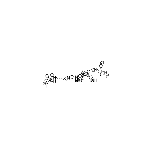 CC1(C)CCC(CN2CCN(c3ccc(C(=O)NS(=O)(=O)c4ccc(NC[C@H]5CC[C@@H](N6CCN(CCCCCCNc7cccc8c7C(=O)N(C7CCC(=O)NC7=O)C8=O)CC6)CC5)c([N+](=O)[O-])c4)c(Oc4cnc5[nH]ccc5c4)c3)CC2)=C(c2ccc(Cl)cc2)C1